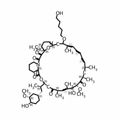 CO[C@@H]1C[C@H](C[C@@H](C)[C@@H]2CC(=O)[C@H](C)/C=C(\C)[C@@H](O)[C@@H](OC)C(=O)[C@H](C)C[C@H](C)/C=C/C=C/C=C(\C)C(OCCCCCO)C[C@@H]3CC[C@@H](C)[C@@](O)(O3)C(=O)C(=O)N3CCCC[C@H]3C(=O)O2)CC[C@H]1O